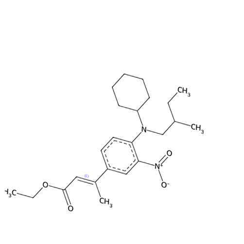 CCOC(=O)/C=C(\C)c1ccc(N(CC(C)CC)C2CCCCC2)c([N+](=O)[O-])c1